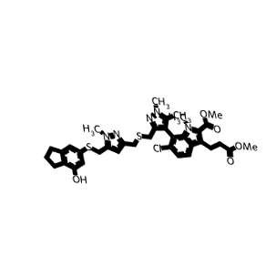 COC(=O)CCc1c(C(=O)OC)n(C)c2c(-c3c(CSCc4cc(CSc5cc(O)c6c(c5)CCC6)n(C)n4)nn(C)c3C)c(Cl)ccc12